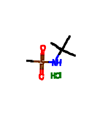 CC(C)(C)NS(C)(=O)=O.Cl